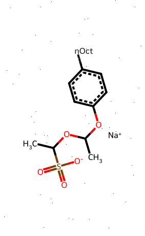 CCCCCCCCc1ccc(OC(C)OC(C)S(=O)(=O)[O-])cc1.[Na+]